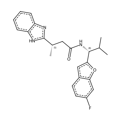 CC(C)[C@@H](NC(=O)C[C@H](C)c1nc2ccccc2[nH]1)c1cc2ccc(F)cc2o1